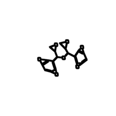 c1c2oc2c(C(OC(c2c3oc3cc3oc23)C2CO2)C2CO2)c2oc12